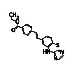 CCOC(=O)c1ccc(/C=C/c2ccc3c(c2)Nc2nccnc2S3)cc1